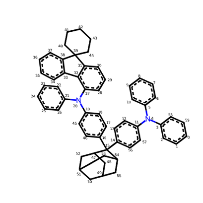 c1ccc(N(c2ccccc2)c2ccc(C3(c4ccc(N(c5ccccc5)c5cccc6c5-c5ccccc5C65CCCCC5)cc4)C4CC5CC(C4)CC3C5)cc2)cc1